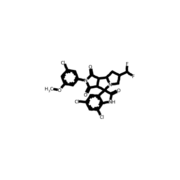 COc1cc(Cl)cc(N2C(=O)C3C4CC(C(F)F)CN4C4(C(=O)Nc5c(Cl)cc(Cl)cc54)C3C2=O)c1